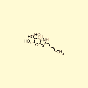 C/C=C/CCC1N[C@@H]2C(O[C@H](CO)[C@@H](O)[C@@H]2O)S1